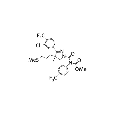 COC(=O)N(C(=O)N1CC(C)(CCCSC)C(c2ccc(C(F)(F)F)c(Cl)c2)=N1)c1ccc(C(F)(F)F)cc1